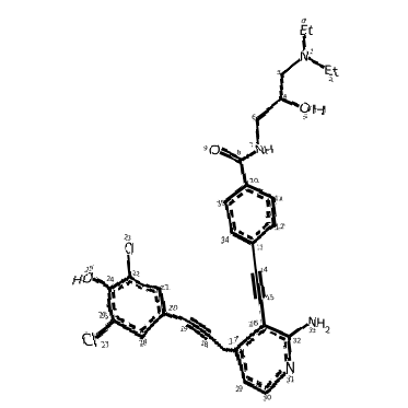 CCN(CC)CC(O)CNC(=O)c1ccc(C#Cc2c(C#Cc3cc(Cl)c(O)c(Cl)c3)ccnc2N)cc1